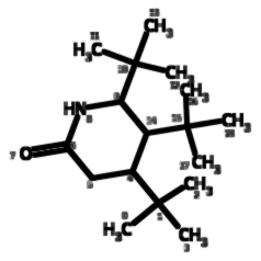 CC(C)(C)C1CC(=O)NC(C(C)(C)C)C1C(C)(C)C